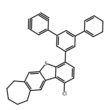 Clc1ccc(-c2cc(C3=CCCC=C3)cc(-c3c#cc#cc3)c2)c2sc3cc4c(cc3c12)CCCCC4